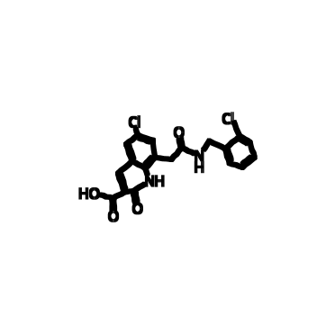 O=C(Cc1cc(Cl)cc2cc(C(=O)O)c(=O)[nH]c12)NCc1ccccc1Cl